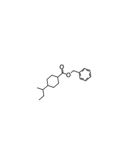 CCC(C)C1CCC(C(=O)OCc2ccccc2)CC1